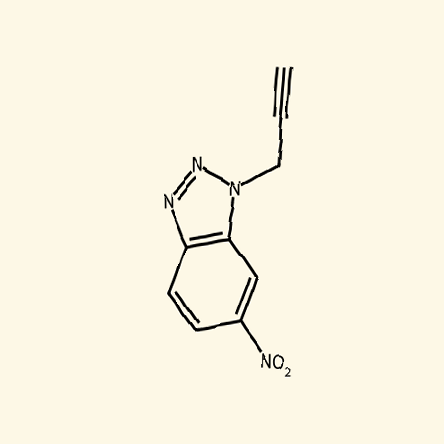 C#CCn1nnc2ccc([N+](=O)[O-])cc21